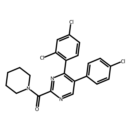 O=C(c1ncc(-c2ccc(Cl)cc2)c(-c2ccc(Cl)cc2Cl)n1)N1CCCCC1